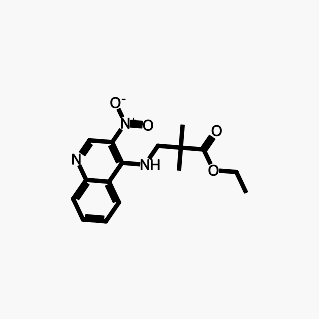 CCOC(=O)C(C)(C)CNc1c([N+](=O)[O-])cnc2ccccc12